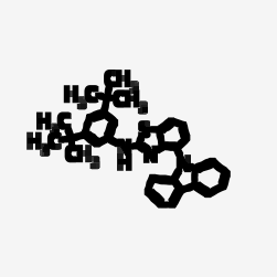 CC(C)(C)c1cc(Nc2nc3c(-n4c5ccccc5c5ccccc54)cccc3s2)cc(C(C)(C)C)c1